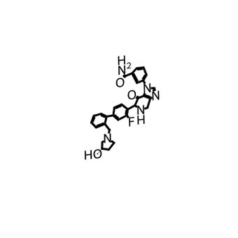 NC(=O)c1cccc(-n2cnc3c2C(=O)C(c2ccc(-c4ccccc4CN4CC[C@H](O)C4)cc2F)NC3)c1